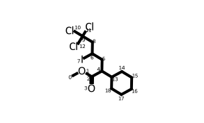 COC(=O)C(CC(I)CC(Cl)(Cl)Cl)C1CCCCC1